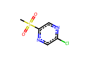 CS(=O)(=O)c1cnc(Cl)[c]n1